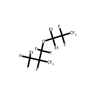 CCC(C)(F)C(F)(C(F)(F)F)C(F)(F)OC(CC)(CC)C(F)(F)C(F)(F)F